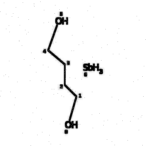 OCCCCO.[SbH3]